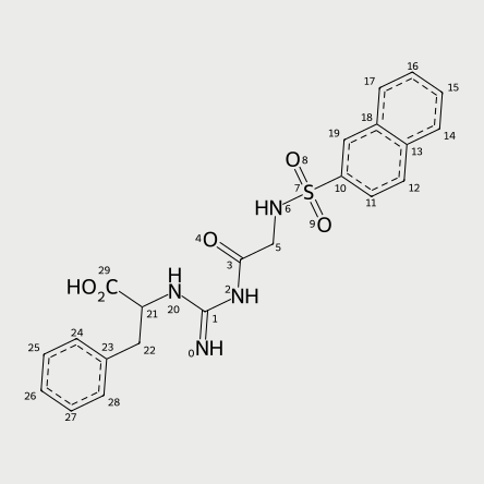 N=C(NC(=O)CNS(=O)(=O)c1ccc2ccccc2c1)NC(Cc1ccccc1)C(=O)O